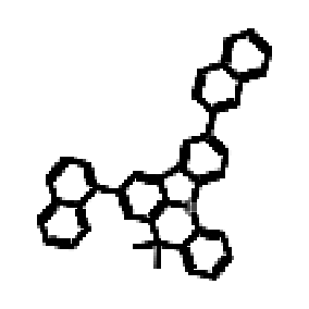 CC1(C)c2ccccc2-n2c3ccc(-c4ccc5ccccc5c4)cc3c3cc(-c4cccc5ccccc45)cc1c32